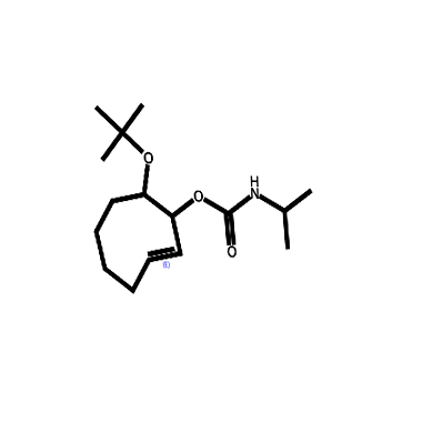 CC(C)NC(=O)OC1/C=C/CCCCC1OC(C)(C)C